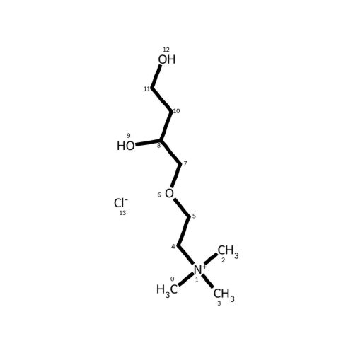 C[N+](C)(C)CCOCC(O)CCO.[Cl-]